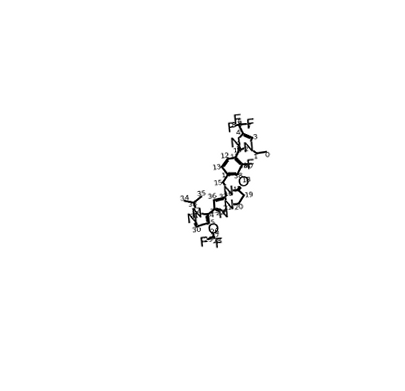 CCn1cc(C(F)(F)F)nc1-c1ccc(CN2C(=O)CCn3nc(-c4c(OC(F)F)cnn4C(C)C)cc32)cc1F